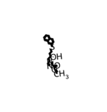 CCOC(=O)c1cn(C[C@@H](O)CCCSc2ccc3ccccc3c2)cn1